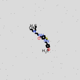 CCCCN(CCCC)CCCNC(=O)c1ccc2sc3nc(-c4ccc(OC)cc4)cn3c2c1